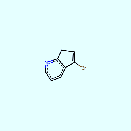 BrC1=CCc2ncccc21